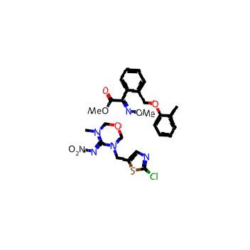 CN1COCN(Cc2cnc(Cl)s2)/C1=N/[N+](=O)[O-].CO/N=C(/C(=O)OC)c1ccccc1COc1ccccc1C